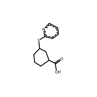 O=C(O)C1CCCC(Sc2ccccn2)C1